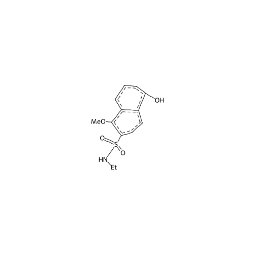 CCNS(=O)(=O)c1ccc2c(O)cccc2c1OC